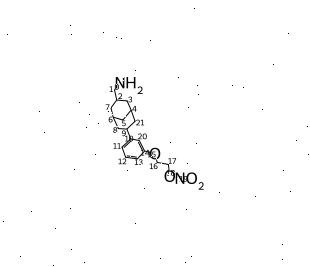 NCC1CC2CC(C1)CC(c1cccc(OCCO[N+](=O)[O-])c1)C2